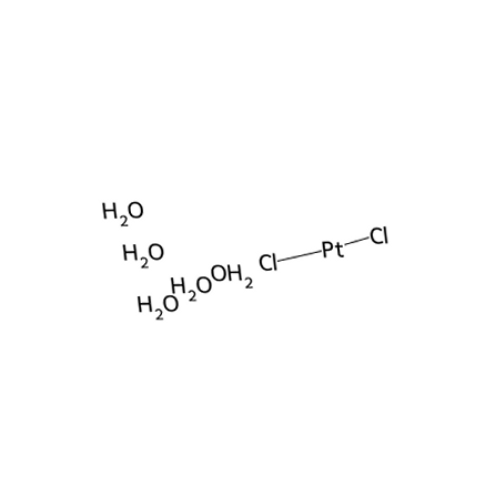 O.O.O.O.O.[Cl][Pt][Cl]